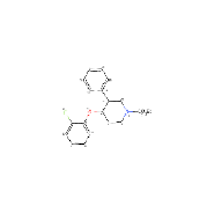 CCOC(=O)N1CCC(Oc2ccccc2F)C(c2ccccc2)C1